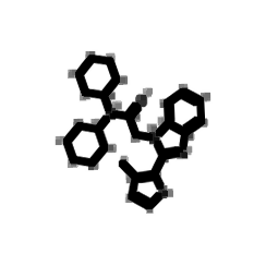 Cc1ccsc1-c1nc2ccccc2n1CC(=O)N(C1CCCCC1)C1CCCCC1